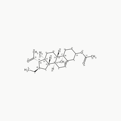 CC[C@@H]1C[C@H]2[C@@H]3CC=C4CC(OC(C)=O)CC[C@]4(C)[C@H]3CC[C@]2(C)[C@H]1C(C)=O